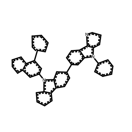 c1ccc(-c2cc(-n3c4ccccc4c4ccc(-c5ccc6c7ncccc7n(-c7ccccc7)c6c5)cc43)cc3ccccc23)cc1